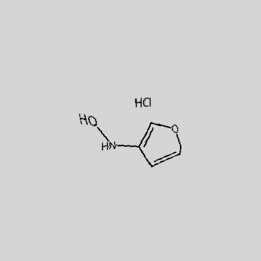 Cl.ONc1ccoc1